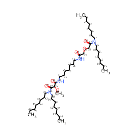 CCCCCCCCN(CCCCCCCC)C(=O)COCC(=O)NCCCCCCCNC(=O)C(OC)C(=O)N(CCCCCCCC)CCCCCCCC